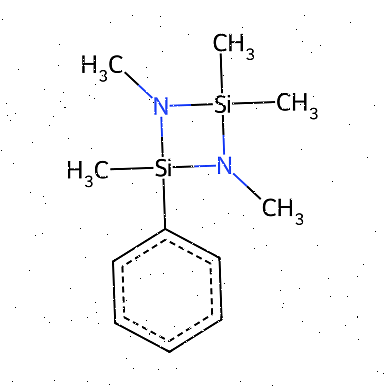 CN1[Si](C)(C)N(C)[Si]1(C)c1ccccc1